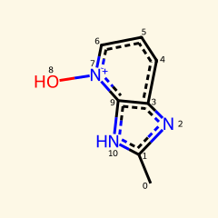 Cc1nc2ccc[n+](O)c2[nH]1